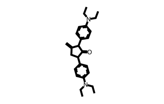 C=C1CC(c2ccc(N(CC)CC)cc2)C(=O)C1c1ccc(N(CC)CC)cc1